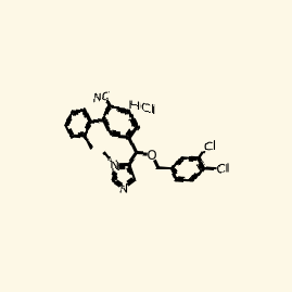 Cc1ccccc1-c1cc(C(OCc2ccc(Cl)c(Cl)c2)c2cncn2C)ccc1C#N.Cl